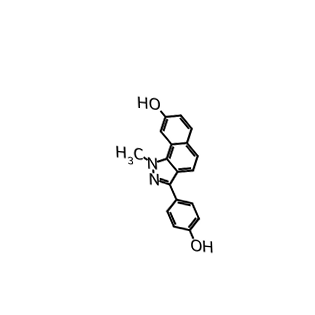 Cn1nc(-c2ccc(O)cc2)c2ccc3ccc(O)cc3c21